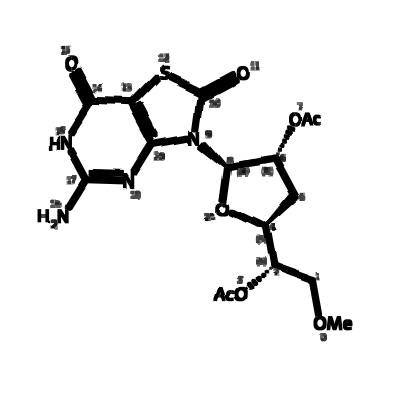 COC[C@H](OC(C)=O)[C@@H]1C[C@@H](OC(C)=O)[C@H](n2c(=O)sc3c(=O)[nH]c(N)nc32)O1